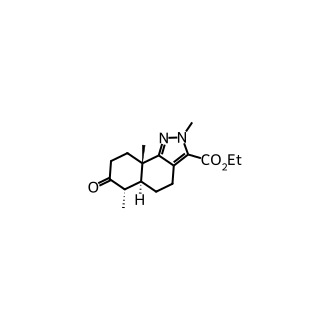 CCOC(=O)c1c2c(nn1C)[C@@]1(C)CCC(=O)[C@@H](C)[C@@H]1CC2